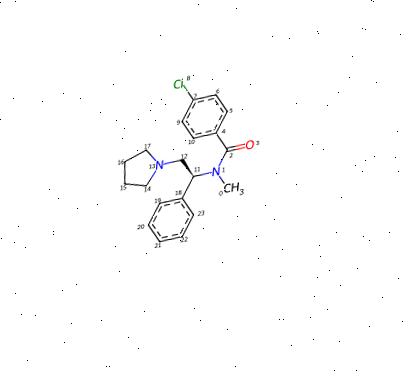 CN(C(=O)c1ccc(Cl)cc1)[C@H](CN1CCCC1)c1ccccc1